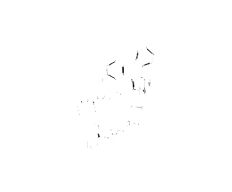 COc1cccc(-c2c(-c3ccccc3)nn(CC3CCC(COCC(=O)O)CC3)c2SCCOC2CCCCO2)c1